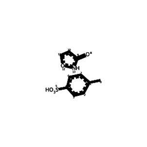 Cc1ccc(S(=O)(=O)O)cc1.O=c1cco[nH]1